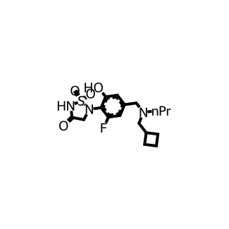 CCCN(Cc1cc(O)c(N2CC(=O)NS2(=O)=O)c(F)c1)CC1CCC1